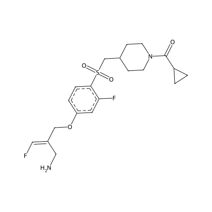 NC/C(=C\F)COc1ccc(S(=O)(=O)CC2CCN(C(=O)C3CC3)CC2)c(F)c1